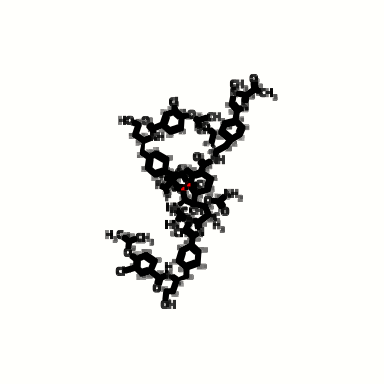 CNC(=O)N[C@@H](c1nc(-c2ccc(C[C@@H](CCO)NC(=O)c3ccc(OC(C)C)c(Cl)c3)cc2)cn1C)C(C)(c1ccc(C(=O)N[C@H](CCO)Cc2ccc(-c3cn(C)c(C(C)=O)n3)cc2)c(Cl)c1OC(C)(F)C(F)F)C(OC(N)=O)[C@H](C)c1nc(-c2ccc(C[C@@H](CCO)NC(=O)c3ccc(OC(C)C)c(Cl)c3)cc2)cn1C